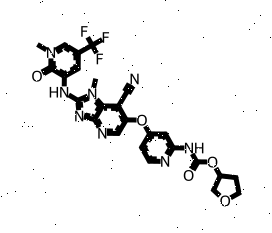 Cn1cc(C(F)(F)F)cc(Nc2nc3ncc(Oc4ccnc(NC(=O)OC5CCOC5)c4)c(C#N)c3n2C)c1=O